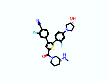 CN[C@@H]1CCCN(C(=O)c2cc(-c3ccc(C#N)c(F)c3)c(-c3ccc(N4CC[C@@H](O)C4)cc3F)s2)C1